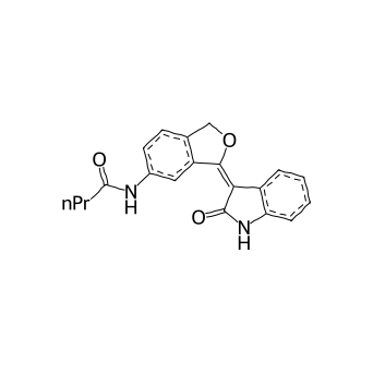 CCCC(=O)Nc1ccc2c(c1)C(=C1C(=O)Nc3ccccc31)OC2